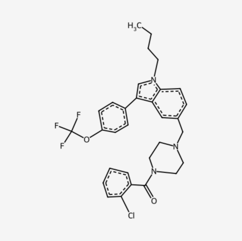 CCCCn1cc(-c2ccc(OC(F)(F)F)cc2)c2cc(CN3CCN(C(=O)c4ccccc4Cl)CC3)ccc21